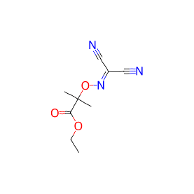 CCOC(=O)C(C)(C)ON=C(C#N)C#N